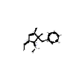 C/C=C1/C=C(C)C(C)(Cc2ccccc2)/C1=N/C